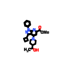 COC(=O)c1cc(N2CCC(C(C)O)CC2)c2c(C3CCC3)nn(-c3ccccc3)c2n1